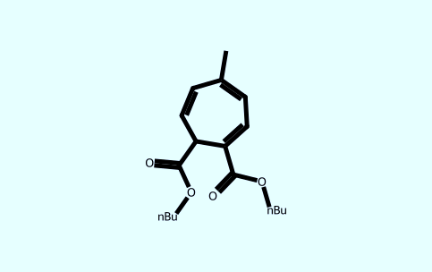 CCCCOC(=O)C1=CC=C(C)C=CC1C(=O)OCCCC